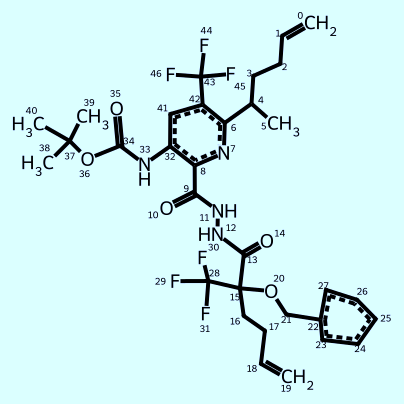 C=CCCC(C)c1nc(C(=O)NNC(=O)C(CCC=C)(OCc2ccccc2)C(F)(F)F)c(NC(=O)OC(C)(C)C)cc1C(F)(F)F